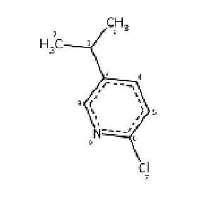 CC(C)c1ccc(Cl)nc1